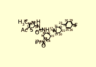 CC(=O)c1sc(NC(=O)N[C@@H]2CN(C(=O)C(C)C)CC[C@H]2CN2CCC[C@@H](Cc3ccc(F)cc3)C2)nc1C